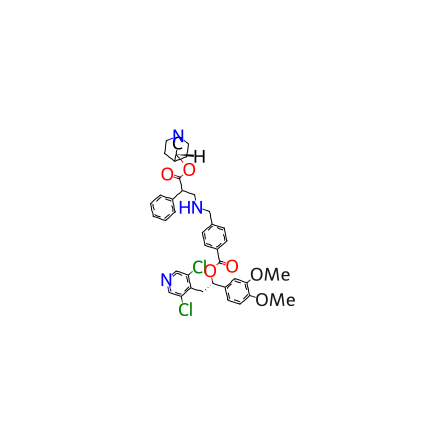 COc1ccc([C@H](Cc2c(Cl)cncc2Cl)OC(=O)c2ccc(CNCC(C(=O)O[C@H]3CN4CCC3CC4)c3ccccc3)cc2)cc1OC